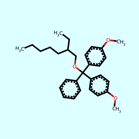 CCCCCC(CC)COC(c1ccccc1)(c1ccc(OC)cc1)c1ccc(OC)cc1